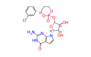 C[C@@]1(O)[C@H](O)C(OP2(=O)OCC[C@@H](c3cccc(Cl)c3)O2)O[C@H]1n1ccc2c(=O)[nH]c(N)nc21